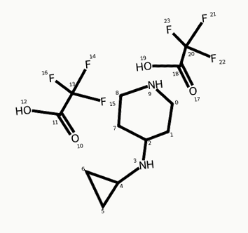 C1CC(NC2CC2)CCN1.O=C(O)C(F)(F)F.O=C(O)C(F)(F)F